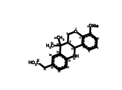 COc1cccc2c1OCC1C2Nc2ccc(CC(=O)O)cc2C1(C)C